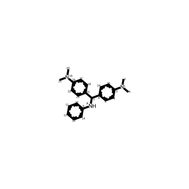 CN(C)c1ccc(C(Nc2ccccc2)c2ccc(N(C)C)cc2)cc1